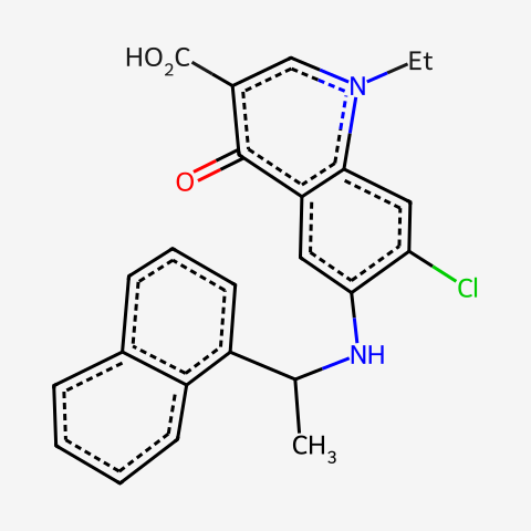 CCn1cc(C(=O)O)c(=O)c2cc(NC(C)c3cccc4ccccc34)c(Cl)cc21